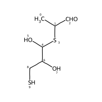 CC(C=O)SC(O)C(O)CS